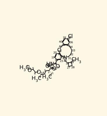 CC[C@H](CC[C@H](C)OCCOC)S(=O)(=O)NC(=O)c1ccc2c(c1)N(C[C@@H]1CC[C@@H]1C)CCCCc1cc(Cl)ccc1CO2